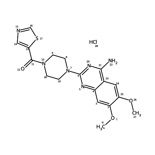 COc1cc2nc(N3CCN(C(=O)c4cncs4)CC3)nc(N)c2cc1OC.Cl